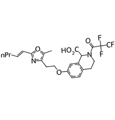 CCC/C=C/c1nc(CCOc2ccc3c(c2)C(C(=O)O)N(C(=O)C(F)(F)C(F)(F)F)CC3)c(C)o1